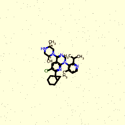 Cc1ccnc(C(C)C)c1N1CN=C(N2C[C@@H](C)NC[C@@H]2C)c2cc(Cl)c(C34CCCCC3C4)nc21